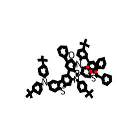 CC(C)(C)c1ccc(N2B3c4cc5sc(-c6ccccc6)c(-c6ccccc6)c5cc4N(c4ccc(C(C)(C)C)cc4-c4ccccc4)c4c3c(cc3c4oc4ccccc43)-c3cc4c(cc32)sc2ccc(N(c3ccc(C(C)(C)C)cc3)c3ccc(C(C)(C)C)cc3)cc24)cc1